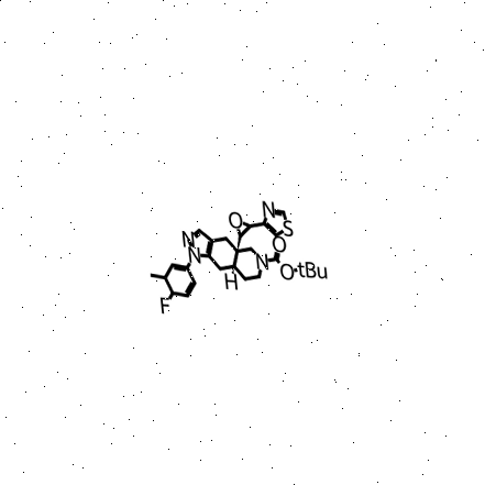 CC1C=C(n2ncc3c2C[C@@H]2CCN(C(=O)OC(C)(C)C)C[C@@]2(C2OC2c2cscn2)C3)C=CC1F